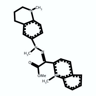 COC(=O)/C(=N\N(C)c1ccc2c(c1)CCCN2C)c1ccc2ccccc2[n+]1C